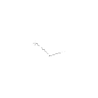 CCCCCCCCCCCCCCCCCC(=O)SCCCCCCSCCC[Si](OCC)(OCC)OCC